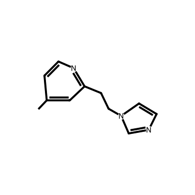 Cc1ccnc(CCn2ccnc2)c1